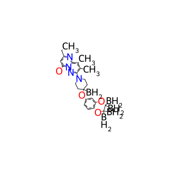 BC1(Oc2ccc3c(c2)OC(B)(B)C(B)(B)O3)CCN(c2nn3c(=O)cc(CC)nc3c(C)c2C)CC1